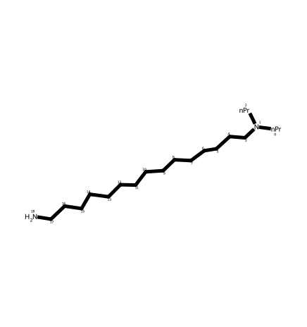 CCCN(CCC)CCCCCCCCCCCCCCCN